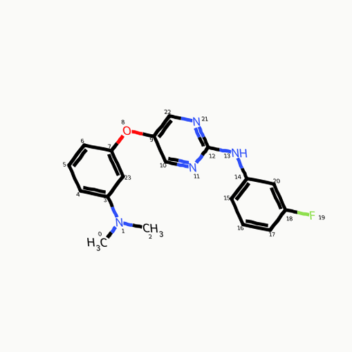 CN(C)c1cccc(Oc2cnc(Nc3cccc(F)c3)nc2)c1